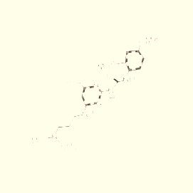 COc1ccc(NC(=O)Nc2nc(C)cc(NCCCN(C)C)n2)c(OC)c1